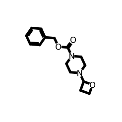 O=C(OCc1ccccc1)N1CCN(C2CCO2)CC1